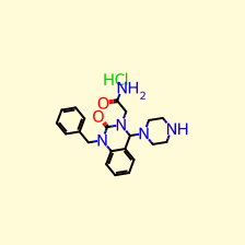 Cl.NC(=O)CN1C(=O)N(Cc2ccccc2)c2ccccc2C1N1CCNCC1